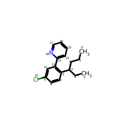 CCCC(CC)c1ccc(Cl)cc1-c1ccccn1